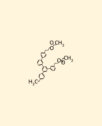 C=CC(=O)OCCCc1ccc(-c2cccc(-c3cc(-c4ccc(C=C)cc4)cc(-c4cccc(CCOC(=O)C=C)c4)c3)c2)cc1